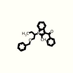 CCC(COCc1ccccc1)n1c(C)c(C(=O)c2ccccc2)c2ccccc21